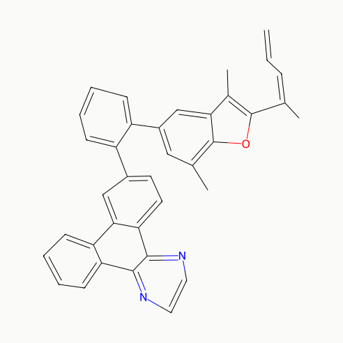 C=C/C=C(/C)c1oc2c(C)cc(-c3ccccc3-c3ccc4c(c3)c3ccccc3c3nccnc43)cc2c1C